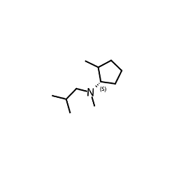 CC(C)CN(C)[C@H]1CCCC1C